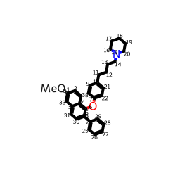 COc1ccc2c(Oc3ccc(CCCCN4CCCCC4)cc3)c(-c3ccccc3)ccc2c1